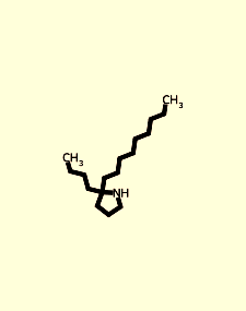 CCCCCCCCCC1(CCCC)CCCN1